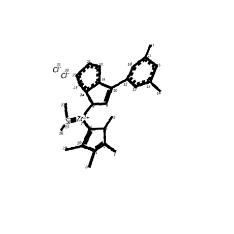 CC1=C(C)C(C)[C]([Zr+2]([CH]2C=C(c3cc(C)cc(C)c3)c3ccccc32)=[Si](C)C)=C1C.[Cl-].[Cl-]